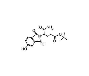 CC(C)(C)OC(=O)CCC(C(N)=O)N1C(=O)c2ccc(O)cc2C1=O